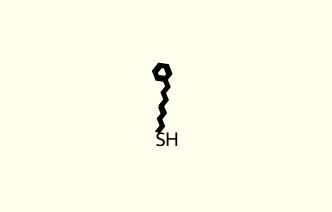 SCCCC=CCCCc1ccccc1